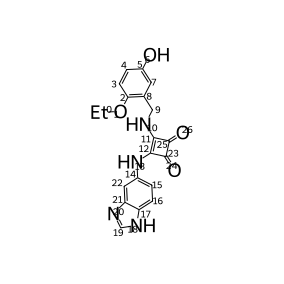 CCOc1ccc(O)cc1CNc1c(Nc2ccc3[nH]cnc3c2)c(=O)c1=O